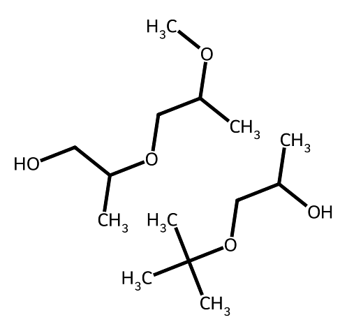 CC(O)COC(C)(C)C.COC(C)COC(C)CO